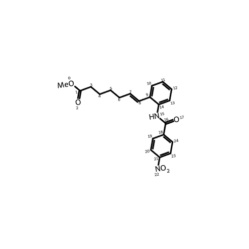 COC(=O)CCCCC=Cc1ccccc1NC(=O)c1ccc([N+](=O)[O-])cc1